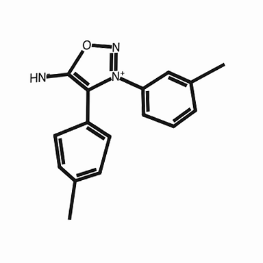 Cc1ccc(-c2c([NH-])on[n+]2-c2cccc(C)c2)cc1